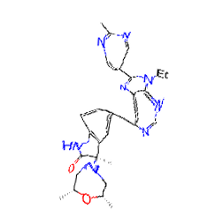 CCn1c(-c2cnc(C)nc2)nc2c(-c3ccc4c(c3)[C@@](C)(N3C[C@@H](C)O[C@@H](C)C3)C(=O)N4)ncnc21